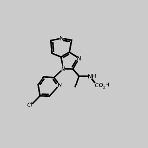 CC(NC(=O)O)c1nc2cnccc2n1-c1ccc(Cl)cn1